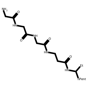 CCCCCC(CC)NC(=O)CCNC(=O)CNC(=O)CNC(=O)CN